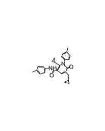 Cc1ccc(NC(=O)c2cc(CC3CC3)c(=O)n(-c3ccc(C)cc3)c2C2CC2)cc1